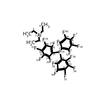 C[CH2][Al]([CH2]C)[CH2]C.Fc1c(F)c(F)c(P(c2c(F)c(F)c(F)c(F)c2F)c2c(F)c(F)c(F)c(F)c2F)c(F)c1F